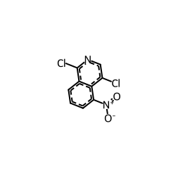 O=[N+]([O-])c1cccc2c(Cl)ncc(Cl)c12